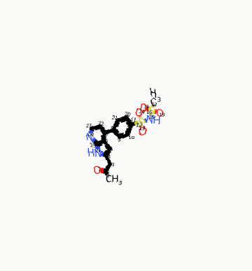 CC(=O)Cc1cc2c(-c3ccc(S(=O)(=O)NS(C)(=O)=O)cc3)ccnc2[nH]1